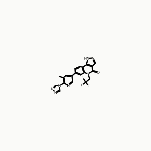 Cc1cc(-c2ccc3c4[nH]ncc4c(=O)n(CC(F)(F)F)c3c2)cnc1-n1cnnc1